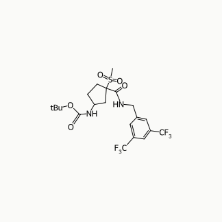 CC(C)(C)OC(=O)NC1CCC(C(=O)NCc2cc(C(F)(F)F)cc(C(F)(F)F)c2)(S(C)(=O)=O)C1